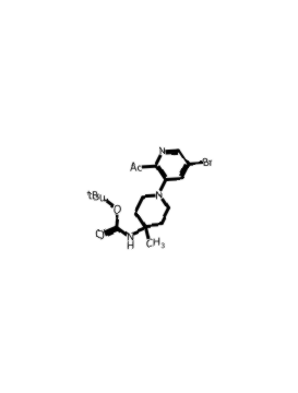 CC(=O)c1ncc(Br)cc1N1CCC(C)(NC(=O)OC(C)(C)C)CC1